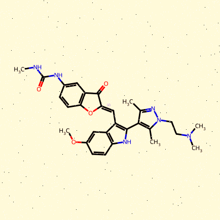 CNC(=O)Nc1ccc2c(c1)C(=O)/C(=C/c1c(-c3c(C)nn(CCN(C)C)c3C)[nH]c3ccc(OC)cc13)O2